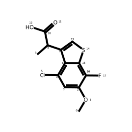 COc1cc(Cl)c2c(C(C)C(=O)O)csc2c1F